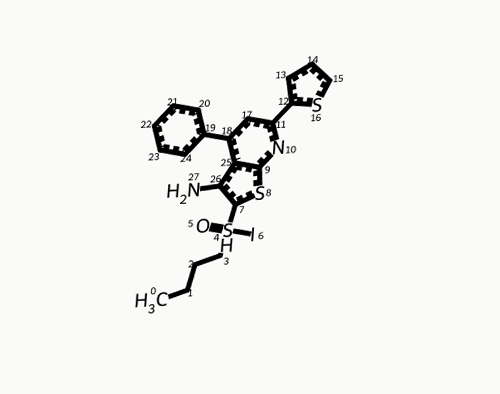 CCCC[SH](=O)(I)c1sc2nc(-c3cccs3)cc(-c3ccccc3)c2c1N